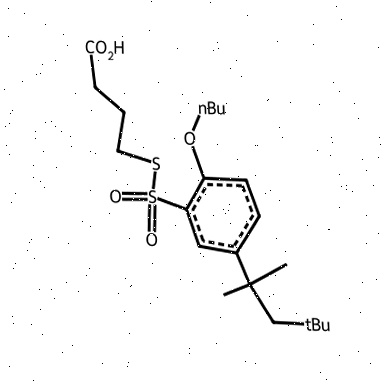 CCCCOc1ccc(C(C)(C)CC(C)(C)C)cc1S(=O)(=O)SCCCC(=O)O